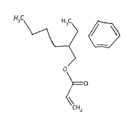 C=CC(=O)OCC(CC)CCCC.c1ccccc1